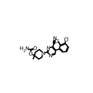 CC1(OC(N)=O)CCN(c2ncc(-c3cccc(Cl)c3Cl)c(C#N)n2)CC1